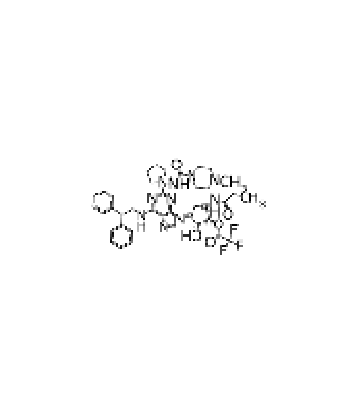 CCC(=O)N[C@H]1C[C@@H](n2cnc3c(NCC(c4ccccc4)c4ccccc4)nc([N+]4(NC(=O)N5CCN(C)CC5)CCCC4)nc32)[C@H](O)[C@@H]1OC(=O)C(F)(F)F